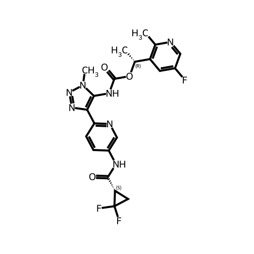 Cc1ncc(F)cc1[C@@H](C)OC(=O)Nc1c(-c2ccc(NC(=O)[C@@H]3CC3(F)F)cn2)nnn1C